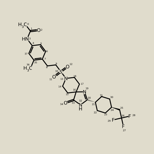 CC(=O)Nc1ccc(CCS(=O)(=O)N2CCC3(CC2)N=C([C@H]2CC[C@H](CC(F)(F)F)CC2)NC3=O)c(C)c1